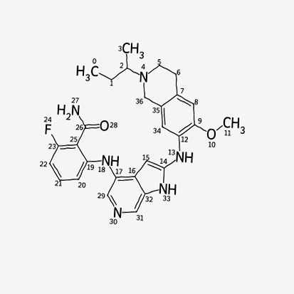 CCC(C)N1CCc2cc(OC)c(Nc3cc4c(Nc5cccc(F)c5C(N)=O)cncc4[nH]3)cc2C1